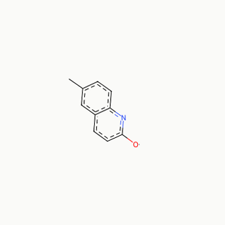 Cc1ccc2nc([O])ccc2c1